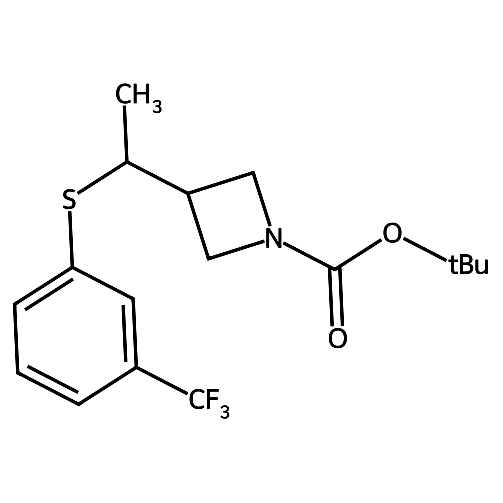 CC(Sc1cccc(C(F)(F)F)c1)C1CN(C(=O)OC(C)(C)C)C1